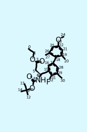 CCOC(=O)C[C@H](NC(=O)OC(C)(C)C)c1cc(-c2c(C)cc(OC)cc2C)cc(C)c1F